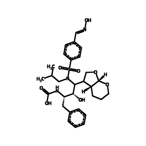 CC(C)CN(C(C1CO[C@@H]2OCCC[C@H]12)[C@H](O)[C@H](Cc1ccccc1)NC(=O)O)S(=O)(=O)c1ccc(C=NO)cc1